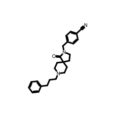 N#Cc1ccc(CN2CCC3(CCN(CCCc4ccccc4)CC3)C2=O)cc1